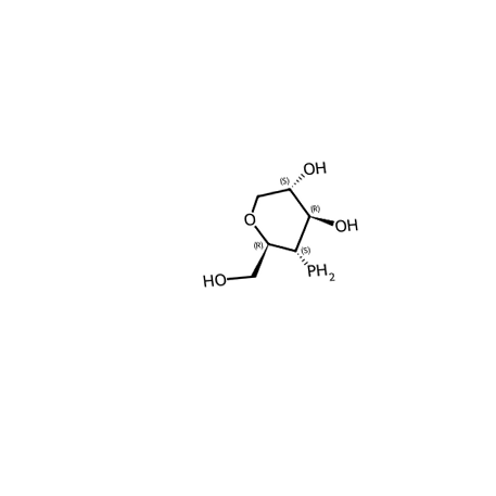 OC[C@H]1OC[C@H](O)[C@@H](O)[C@@H]1P